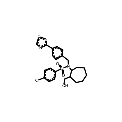 O=S(=O)(c1ccc(Cl)cc1)N(Cc1ccc(-c2ncon2)cc1)C1CCCCCC1CO